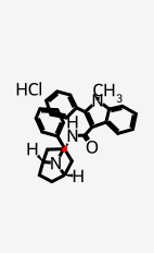 Cl.Cn1c(-c2ccccc2)c(C(=O)N[C@H]2C[C@H]3CC[C@@H](C2)N3Cc2ccccc2)c2ccccc21